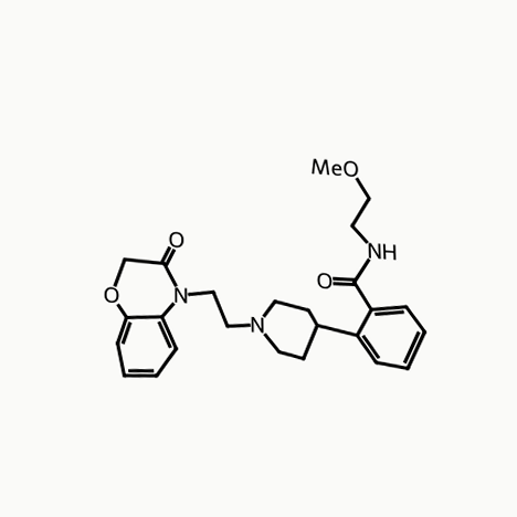 COCCNC(=O)c1ccccc1C1CCN(CCN2C(=O)COc3ccccc32)CC1